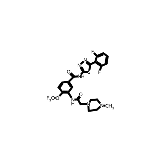 CN1CCN(CC(=O)Nc2cc(C(=O)Nc3nnc(-c4c(F)cccc4F)s3)ccc2OC(F)(F)F)CC1